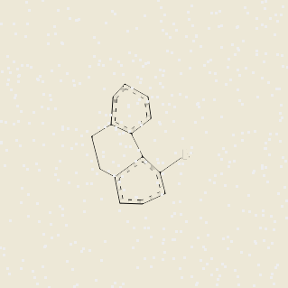 Brc1cccc2c1-c1ccccc1CC2